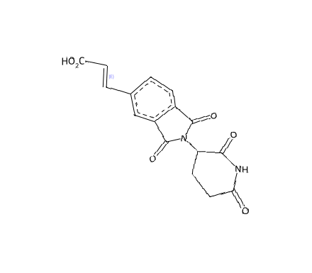 O=C(O)/C=C/c1ccc2c(c1)C(=O)N(C1CCC(=O)NC1=O)C2=O